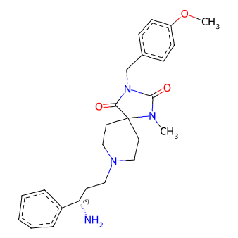 COc1ccc(CN2C(=O)N(C)C3(CCN(CC[C@H](N)c4ccccc4)CC3)C2=O)cc1